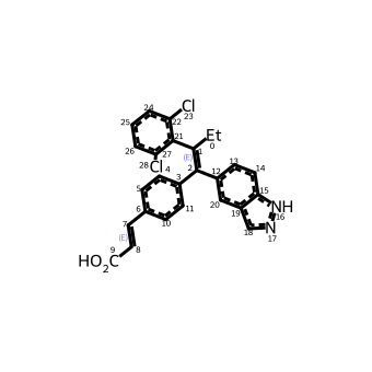 CC/C(=C(/c1ccc(/C=C/C(=O)O)cc1)c1ccc2[nH]ncc2c1)c1c(Cl)cccc1Cl